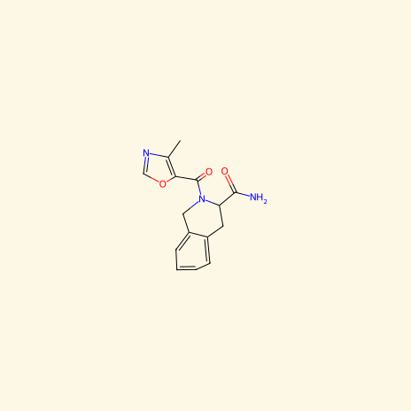 Cc1ncoc1C(=O)N1Cc2ccccc2CC1C(N)=O